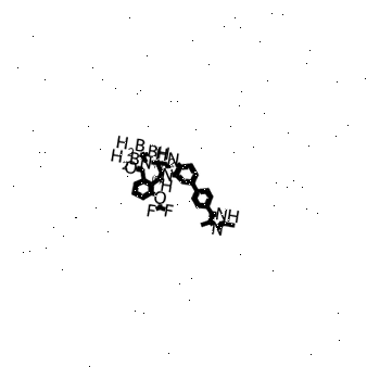 BC(B)(B)N1C(=O)c2cccc(OC(F)F)c2[C@H]2C[C@@H]1c1nc3ccc(-c4ccc(-c5[nH]c(C)nc5C)cc4)cc3n12